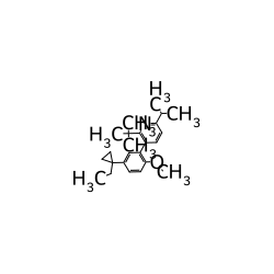 CCC1(c2ccc(OC)c(-c3ccc(C(C)C)nc3C(C)(C)C)c2)CC1